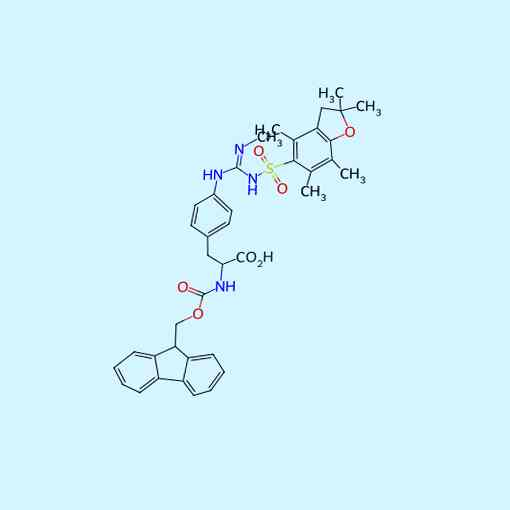 C/N=C(/Nc1ccc(CC(NC(=O)OCC2c3ccccc3-c3ccccc32)C(=O)O)cc1)NS(=O)(=O)c1c(C)c(C)c2c(c1C)CC(C)(C)O2